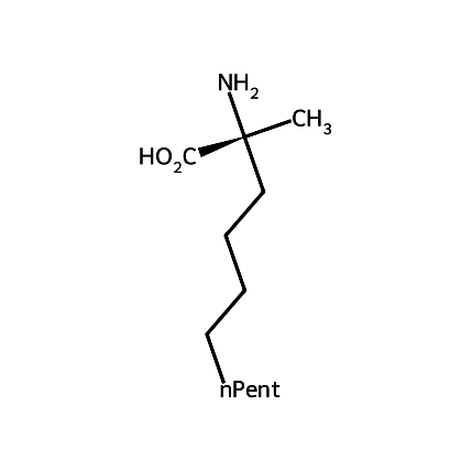 CCCCCCCCC[C@@](C)(N)C(=O)O